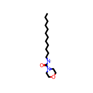 CCCCCCCCCCCC[N]C(=O)N1CCOCC1